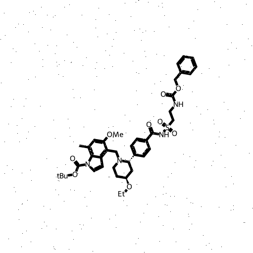 CCO[C@H]1CCN(Cc2c(OC)cc(C)c3c2ccn3C(=O)OC(C)(C)C)[C@H](c2ccc(C(=O)NS(=O)(=O)CCNC(=O)OCc3ccccc3)cc2)C1